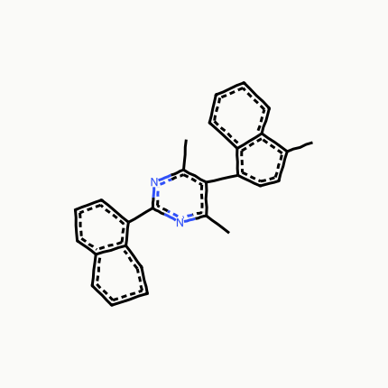 Cc1nc(-c2cccc3ccccc23)nc(C)c1-c1ccc(C)c2ccccc12